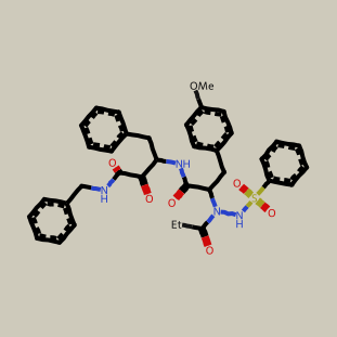 CCC(=O)N(NS(=O)(=O)c1ccccc1)C(Cc1ccc(OC)cc1)C(=O)NC(Cc1ccccc1)C(=O)C(=O)NCc1ccccc1